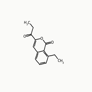 CCC(=O)c1cc2cccc(CC)c2c(=O)o1